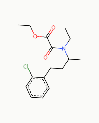 CCOC(=O)C(=O)N(CC)C(C)CCc1ccccc1Cl